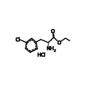 CCOC(=O)C(N)Cc1cccc(Cl)c1.Cl